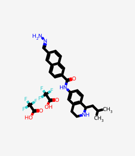 CC(C)CC1NCCc2cc(NC(=O)c3ccc4cc(C=NN)ccc4c3)ccc21.O=C(O)C(F)(F)F.O=C(O)C(F)(F)F